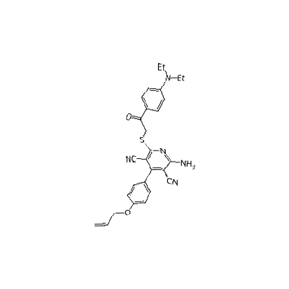 C=CCOc1ccc(-c2c(C#N)c(N)nc(SCC(=O)c3ccc(N(CC)CC)cc3)c2C#N)cc1